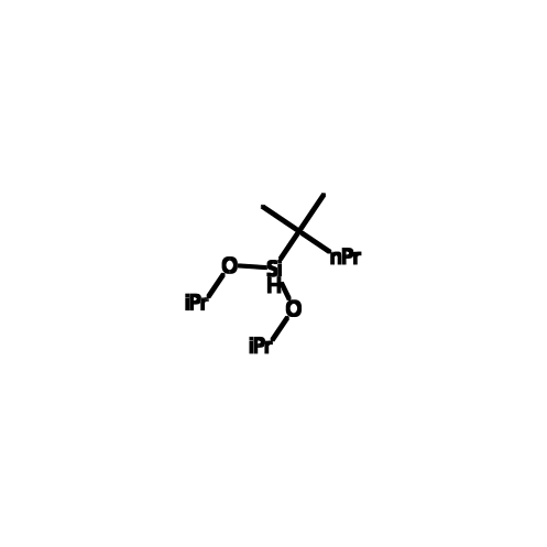 CCCC(C)(C)[SiH](OC(C)C)OC(C)C